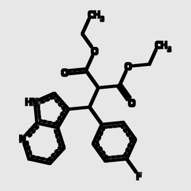 CCOC(=O)C(C(=O)OCC)C(c1ccc(F)cc1)c1c[nH]c2ncccc12